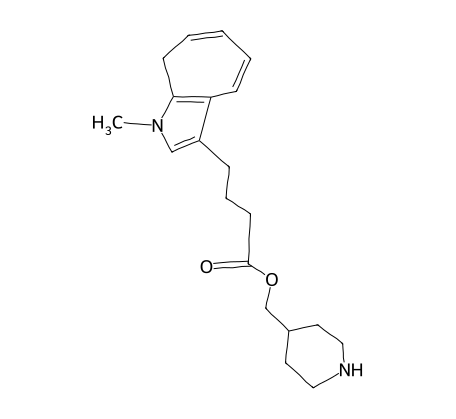 Cn1cc(CCCC(=O)OCC2CCNCC2)c2c1CC=CC=C2